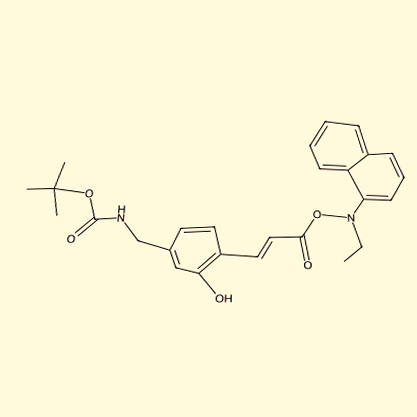 CCN(OC(=O)C=Cc1ccc(CNC(=O)OC(C)(C)C)cc1O)c1cccc2ccccc12